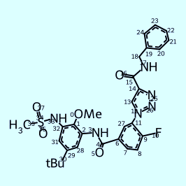 COc1c(NC(=O)c2ccc(F)c(-n3cc(C(=O)NCc4ccccc4)nn3)c2)cc(C(C)(C)C)cc1NS(C)(=O)=O